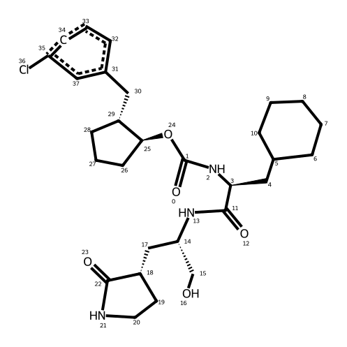 O=C(N[C@@H](CC1CCCCC1)C(=O)N[C@H](CO)C[C@@H]1CCNC1=O)O[C@H]1CCC[C@@H]1Cc1cccc(Cl)c1